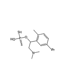 Cc1ccc(C(C)C)cc1C(CN(C)C)OP(O)(=S)S